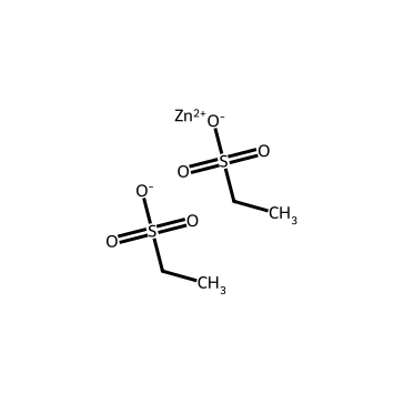 CCS(=O)(=O)[O-].CCS(=O)(=O)[O-].[Zn+2]